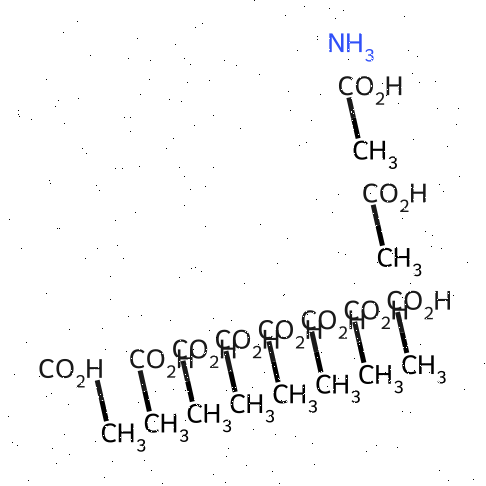 CC(=O)O.CC(=O)O.CC(=O)O.CC(=O)O.CC(=O)O.CC(=O)O.CC(=O)O.CC(=O)O.CC(=O)O.CC(=O)O.N